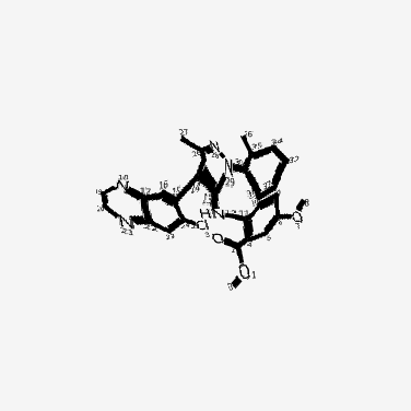 COC(=O)c1cc(OC)ccc1Nc1c(-c2cc3nccnc3cc2Cl)c(C)nn1-c1ccccc1C